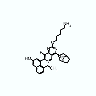 CCc1cccc2cc(O)cc(-c3ncc4c(N5CC6CCC(C5)N6)nc(OCCCCCN)nc4c3F)c12